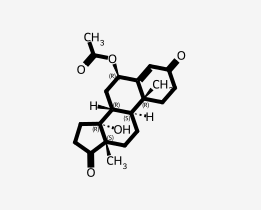 CC(=O)O[C@@H]1C[C@@H]2[C@H](CC[C@]3(C)C(=O)CC[C@@]23O)[C@@]2(C)CCC(=O)C=C12